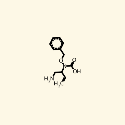 C=CC(CN)N(OCc1ccccc1)C(=O)O